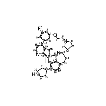 Fc1cc(OCCN2CCCC2)cc(-c2ccnc3[nH]c(C4=NCCCc5ncc(C6CCNCC6)cc54)cc23)c1